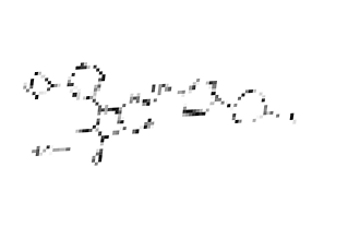 C=CCn1c(=O)c2cnc(Nc3ccc(C4CCC(C)CC4)cc3)nc2n1-c1cccc(C2COC2)n1